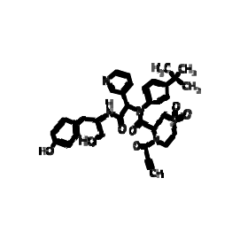 C#CC(=O)N1CCS(=O)(=O)CC1C(=O)N(c1ccc(C(C)(C)C)cc1)C(C(=O)NC(CO)Cc1ccc(O)cc1)c1cccnc1